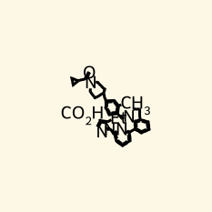 CCc1c(C(=O)O)cnn1-c1cccc(-c2cccc3c2N(Cc2ccc(C4CCN(C(=O)C5CC5)CC4)cc2C)CC3)n1